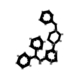 c1ccc(CN2CCN(c3cc(NC(c4ccccc4)c4ccccc4)ncn3)CC2)cc1